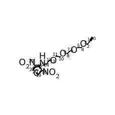 C#CCOCCOCCOCCOCCNc1c([N+](=O)[O-])cccc1[N+](=O)[O-]